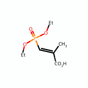 CCOP(=O)(C=C(C)C(=O)O)OCC